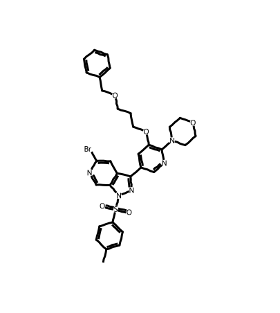 Cc1ccc(S(=O)(=O)n2nc(-c3cnc(N4CCOCC4)c(OCCCOCc4ccccc4)c3)c3cc(Br)ncc32)cc1